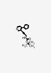 CC(C)(C)OC(=O)NCC#Cc1cnccc1-c1ccccc1